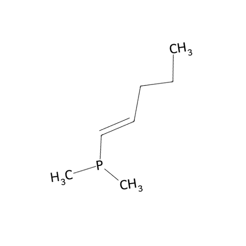 CCCC=CP(C)C